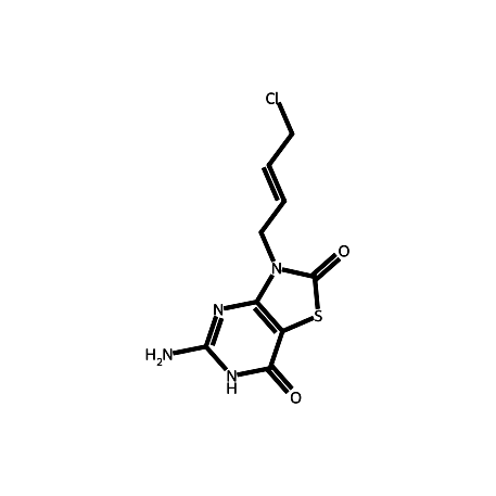 Nc1nc2c(sc(=O)n2CC=CCCl)c(=O)[nH]1